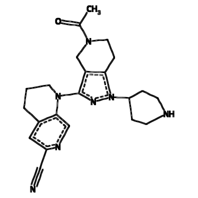 CC(=O)N1CCc2c(c(N3CCCc4cc(C#N)ncc43)nn2C2CCNCC2)C1